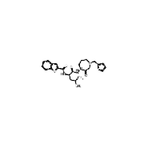 CC(C)CC(NC(=O)c1cc2ccccc2o1)C(=O)N[C@H]1CCCN(Cc2cccs2)CC1=O